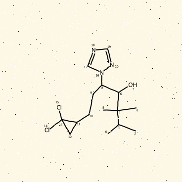 CC(C)C(C)(C)C(O)C(CCC1CC1(Cl)Cl)n1cncn1